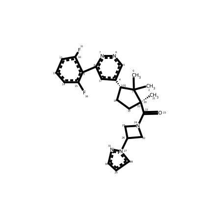 CC1(C)[C@@H](c2cnnc(-c3c(F)cccc3F)c2)CC[C@]1(C)C(=O)N1CC(n2cccn2)C1